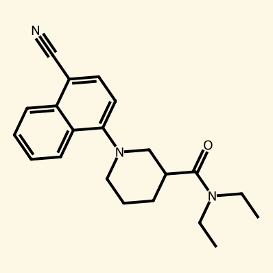 CCN(CC)C(=O)C1CCCN(c2ccc(C#N)c3ccccc23)C1